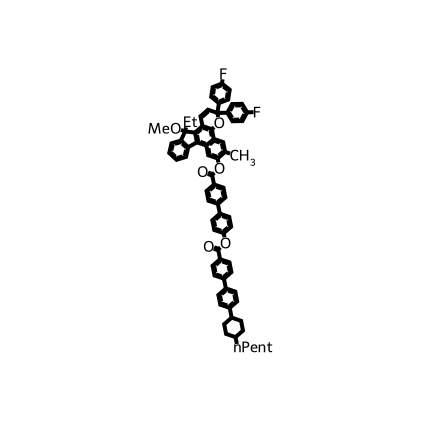 CCCCCC1CCC(c2ccc(-c3ccc(C(=O)Oc4ccc(-c5ccc(C(=O)Oc6cc7c8c(c9c(c7cc6C)OC(c6ccc(F)cc6)(c6ccc(F)cc6)C=C9)C(CC)(OC)c6ccccc6-8)cc5)cc4)cc3)cc2)CC1